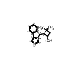 CC1(C)C[C@@H](O)[C@H]1[C@@H]1c2ccccc2-c2cncn21